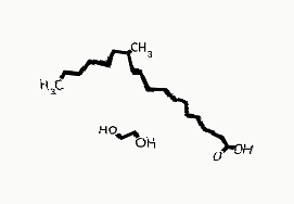 CCCCCCC(C)CCCCCCCCCCC(=O)O.OCCO